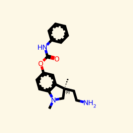 CN1C[C@](C)(CCN)c2cc(OC(=O)Nc3ccccc3)ccc21